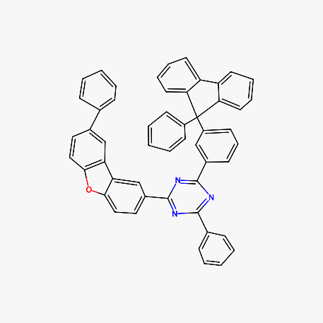 c1ccc(-c2ccc3oc4ccc(-c5nc(-c6ccccc6)nc(-c6cccc(C7(c8ccccc8)c8ccccc8-c8ccccc87)c6)n5)cc4c3c2)cc1